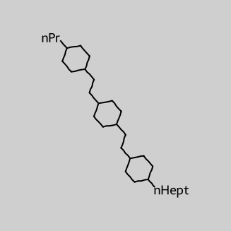 CCCCCCCC1CCC(CCC2CCC(CCC3CCC(CCC)CC3)CC2)CC1